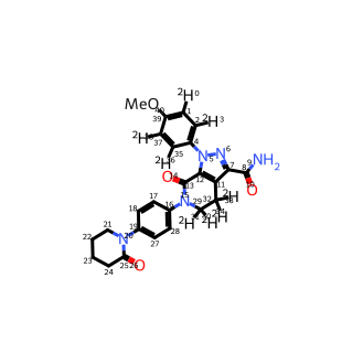 [2H]c1c([2H])c(-n2nc(C(N)=O)c3c2C(=O)N(c2ccc(N4CCCCC4=O)cc2)C([2H])([2H])C3([2H])[2H])c([2H])c([2H])c1OC